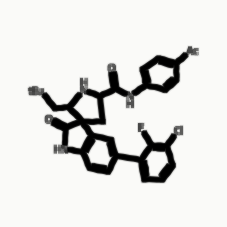 CC(=O)c1ccc(NC(=O)C2CC3(C(=O)Nc4ccc(-c5cccc(Cl)c5F)cc43)C(CC(C)(C)C)N2)cc1